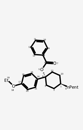 CCCCC[C@H]1CC[C@@](OC(=O)c2ccccc2)(c2ccc(OCC)cc2)CC1